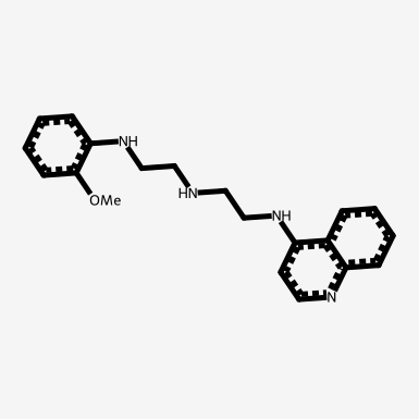 COc1ccccc1NCCNCCNc1ccnc2ccccc12